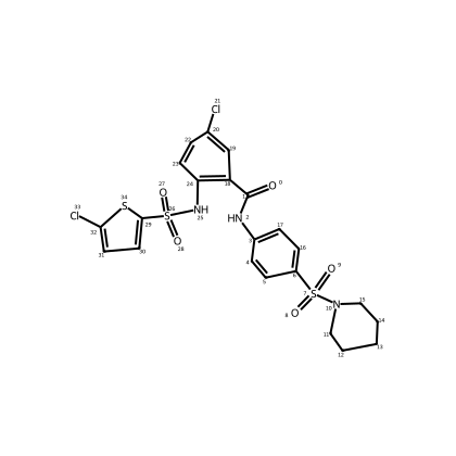 O=C(Nc1ccc(S(=O)(=O)N2CCCCC2)cc1)c1cc(Cl)ccc1NS(=O)(=O)c1ccc(Cl)s1